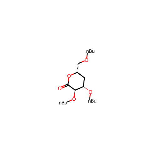 CCCCOC[C@@H]1C[C@H](OCCCC)[C@@H](OCCCC)C(=O)O1